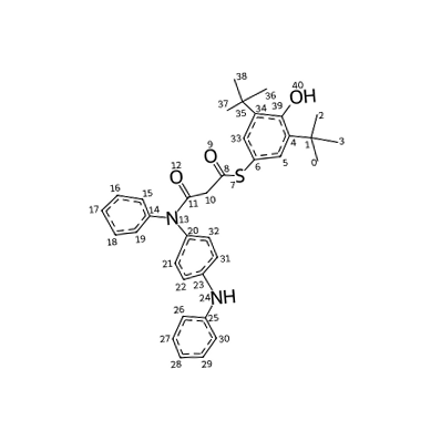 CC(C)(C)c1cc(SC(=O)CC(=O)N(c2ccccc2)c2ccc(Nc3ccccc3)cc2)cc(C(C)(C)C)c1O